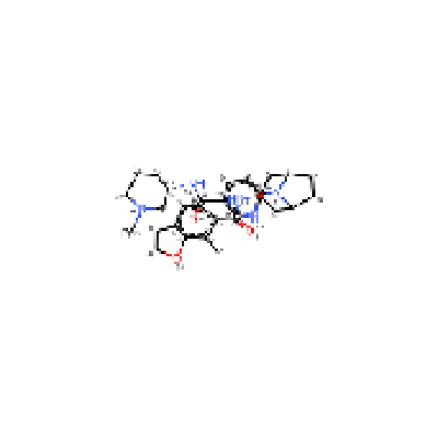 Cc1c(C(=O)NC2CC3CCC(C2)N3c2ccc(C(=O)N[C@H]3CCCN(C(C)C)C3)cn2)ccc2c1OCC2